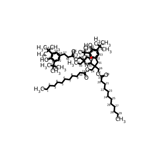 CCCCCCCCCCCC(=O)OCC(COC(=O)CCCCCCCCCCC)(Cc1cc(C(C)(C)C)c(O)c(C(C)(C)C)c1)C1=NC(CC)(COC(=O)CCc2cc(C(C)(C)C)c(O)c(C(C)(C)C)c2)CO1